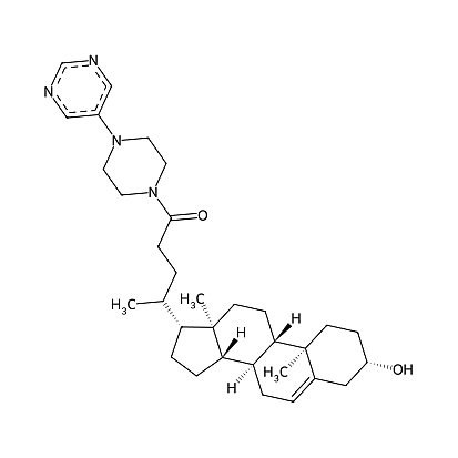 CC(CCC(=O)N1CCN(c2cncnc2)CC1)[C@H]1CC[C@H]2[C@@H]3CC=C4C[C@@H](O)CC[C@]4(C)[C@H]3CC[C@]12C